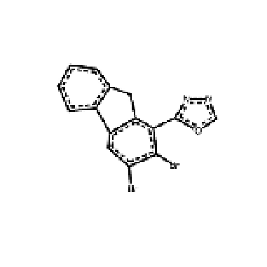 Brc1cc2c(c(-c3nnco3)c1Br)Cc1ccccc1-2